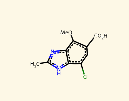 COc1c(C(=O)O)cc(Cl)c2[nH]c(C)nc12